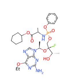 CCOc1nc(N)nc2c1ncn2[C@@H](C)O[C@](F)(COP(=O)(NC(C)C(=O)OC1CCCCC1)Oc1ccccc1)[C@H](C)O